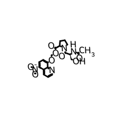 CC(=O)N[C@@H](CO)C(=O)N1CCCC1C(=O)OCOc1ccc([N+](=O)[O-])c2cccnc12